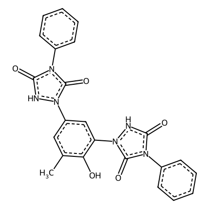 Cc1cc(-n2[nH]c(=O)n(-c3ccccc3)c2=O)cc(-n2[nH]c(=O)n(-c3ccccc3)c2=O)c1O